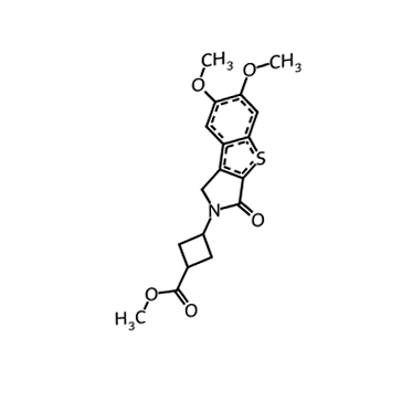 COC(=O)C1CC(N2Cc3c(sc4cc(OC)c(OC)cc34)C2=O)C1